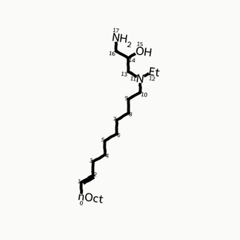 CCCCCCCC/C=C/CCCCCCCCN(CC)CC(O)CN